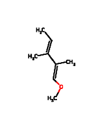 C/C=C(C)/C(C)=C/OC